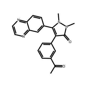 CC(=O)c1cccc(-c2c(-c3ccc4nccnc4c3)n(C)n(C)c2=O)c1